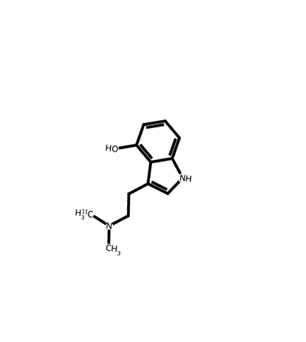 CN([11CH3])CCc1c[nH]c2cccc(O)c12